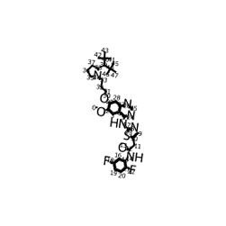 COc1cc2c(Nc3ncc(CC(=O)Nc4cc(F)ccc4F)s3)ncnc2cc1OCCCN1CCC[C@H]1C(C(C)(C)C)C(C)(C)C